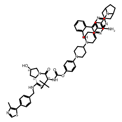 Cc1ncsc1-c1ccc(CNC(=O)[C@@H]2C[C@@H](O)CN2C(=O)[C@@H](NC(=O)Oc2ccc(N3CCC(N4CC=C(c5cnc(N6C7CCC6CN(c6cc(-c8ccccc8O)nnc6N)C7)nc5)CC4)CC3)cc2)C(C)(C)C)cc1